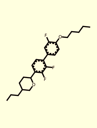 CCCCCOc1ccc(-c2ccc(C3CCC(CCC)CO3)c(F)c2F)cc1F